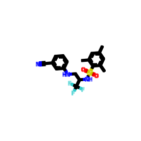 Cc1cc(C)c(S(=O)(=O)NC(CNc2cccc(C#N)c2)C(F)(F)F)c(C)c1